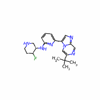 CC(C)(C)c1cn2c(-c3cccc(NC4CNCCC4F)n3)cnc2cn1